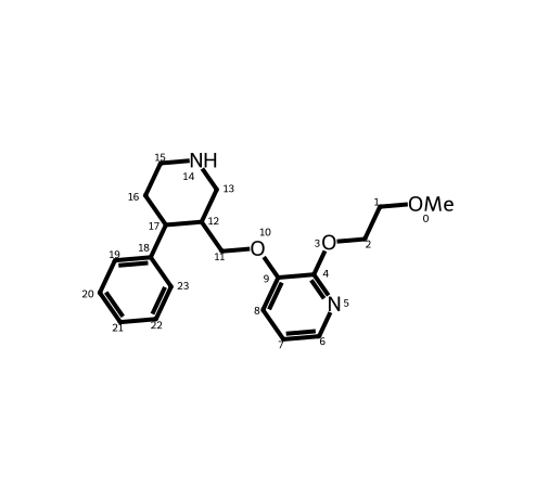 COCCOc1ncccc1OCC1CNCCC1c1ccccc1